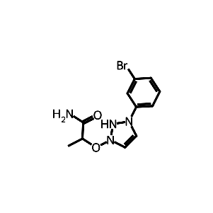 CC(ON1C=CN(c2cccc(Br)c2)N1)C(N)=O